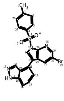 Cc1ccc(S(=O)(=O)n2cc(-c3cccc4[nH]ncc34)c3cc(Br)cnc32)cc1